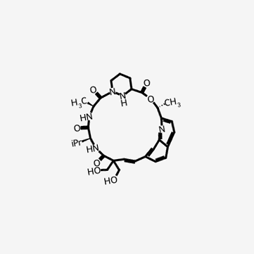 CC(C)[C@@H]1NC(=O)C(CO)(CO)/C=C/c2ccc3ccc(nc3c2)[C@@H](C)OC(=O)C2CCCN(N2)C(=O)[C@H](C)NC1=O